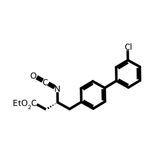 CCOC(=O)C[C@@H](Cc1ccc(-c2cccc(Cl)c2)cc1)N=C=O